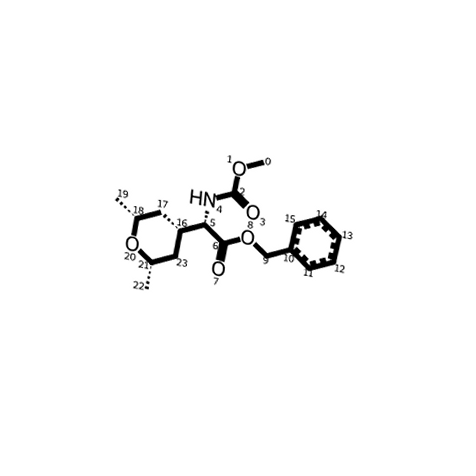 COC(=O)N[C@H](C(=O)OCc1ccccc1)[C@H]1C[C@@H](C)O[C@@H](C)C1